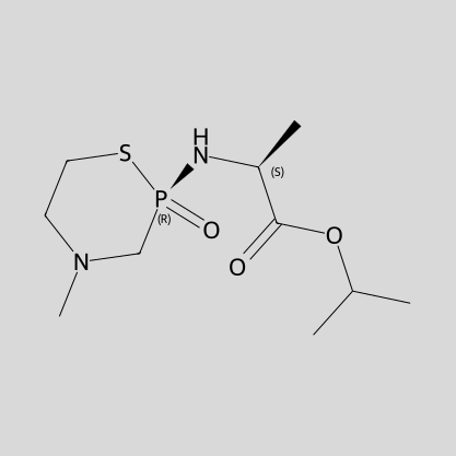 CC(C)OC(=O)[C@H](C)N[P@@]1(=O)CN(C)CCS1